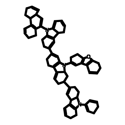 C1=CCC2C(=C1)N(C1=CC3C=CCCC3C3=C1CCC=C3)C1=C2C=C(C2=CC3=C(CC2)C2=CCC(C4=CC5C6=C(CCC=C6)N(C6=CCCC=C6)C5CC4)CC2N3C2=Cc3c(oc4c3C=CCC4)CC2)CC1